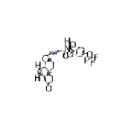 C[C@H](/C=C/C(=O)NS(=O)(=O)c1ccc(OC(F)(F)F)cc1)C1CCC2C3C(CC[C@@]21C)[C@@]1(C)CCC(=O)C=C1[C@H]1C[C@@H]31